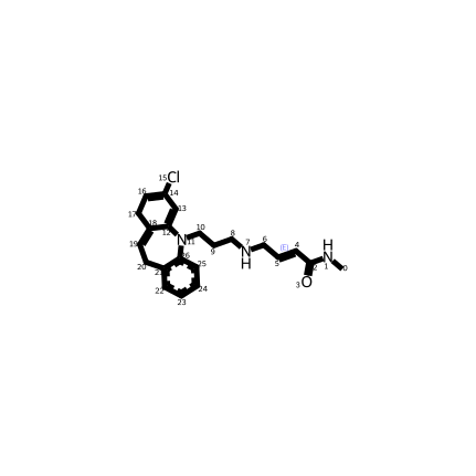 CNC(=O)/C=C/CNCCCN1C2=CC(Cl)=CCC2=CCc2ccccc21